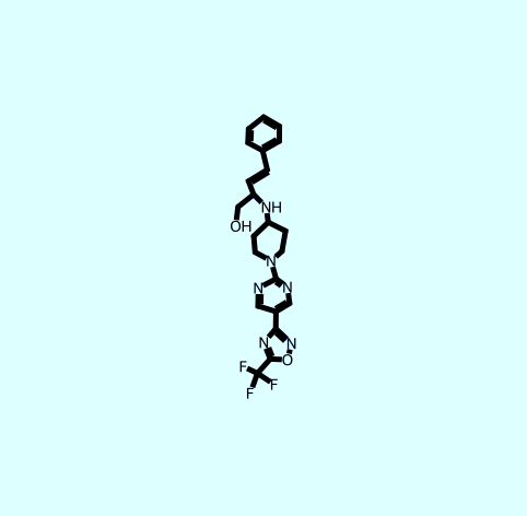 OCC(/C=C/c1ccccc1)NC1CCN(c2ncc(-c3noc(C(F)(F)F)n3)cn2)CC1